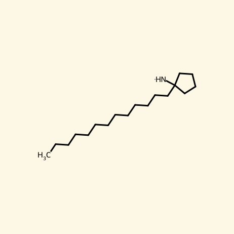 CCCCCCCCCCCCCC1([NH])CCCC1